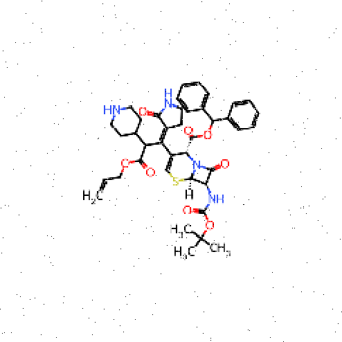 C=CCOC(=O)C(C(C1=CS[C@@H]2[C@H](NC(=O)OC(C)(C)C)C(=O)N2[C@H]1C(=O)OC(c1ccccc1)c1ccccc1)=C1CCNC1=O)C1CCNCC1